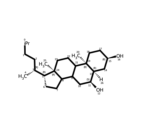 CC(C)CC[C@@H](C)[C@H]1CCC2C3C[C@H](O)[C@@H]4C[C@H](O)CC[C@]4(C)C3CC[C@@]21C